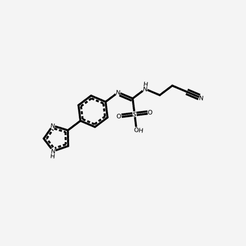 N#CCCNC(=Nc1ccc(-c2c[nH]cn2)cc1)S(=O)(=O)O